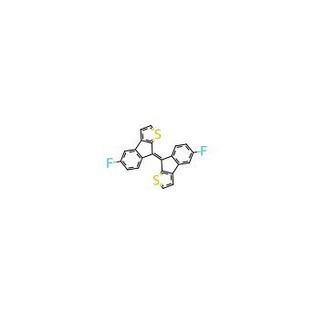 Fc1ccc2c(c1)-c1ccsc1C2=C1c2ccc(F)cc2-c2ccsc21